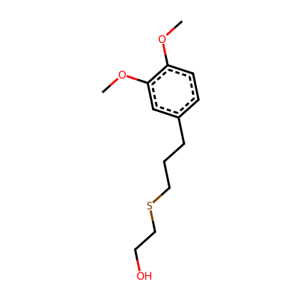 COc1ccc(CCCSCCO)cc1OC